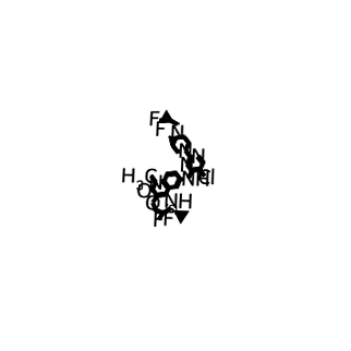 Cn1c(=O)c2c(c3cc(Nc4nc(N5CC6CC(C5)N(CC5CC5(F)F)C6)ncc4Cl)ccc31)N[C@@H](C1CC1)C(F)(F)CO2